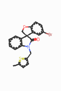 Cc1ccc(CN2C(=O)C3(COc4ccc(Br)cc43)c3ccccc32)s1